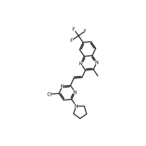 Cc1nc2ccc(C(F)(F)F)cc2nc1/C=C/c1nc(Cl)cc(N2CCCC2)n1